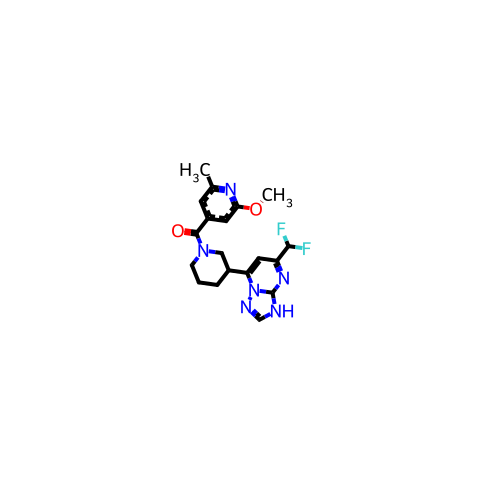 COc1cc(C(=O)N2CCCC(C3=CC(C(F)F)=NC4NC=NN34)C2)cc(C)n1